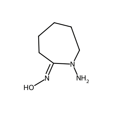 NN1CCCCCC1=NO